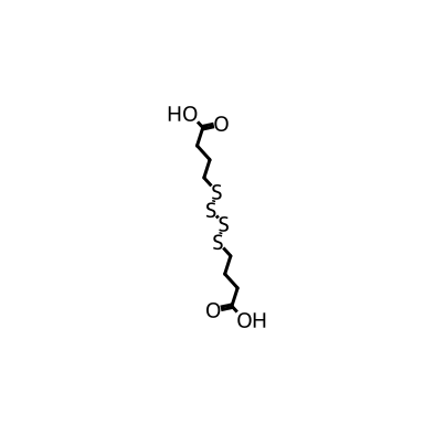 O=C(O)CCCSSSSCCCC(=O)O